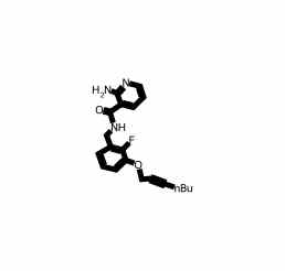 CCCCC#CCOc1cccc(CNC(=O)c2cccnc2N)c1F